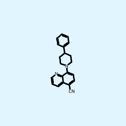 N#Cc1ccc(N2CCC(c3cc[c]cc3)CC2)c2ncccc12